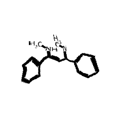 C/N=C(\C=C(/NC)c1ccccc1)c1ccccc1